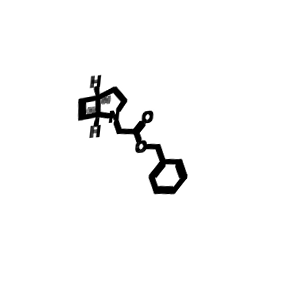 O=C(CN1CC[C@H]2C=C[C@H]21)OCc1ccccc1